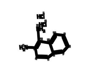 Cl.Cl.Nc1ccc2ccccc2c1N